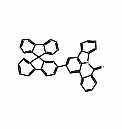 O=c1c2ccccc2c2cc(-c3ccc4c(c3)C3(c5ccccc5-c5ccccc53)c3ccccc3-4)cc3c4ccccc4n1c23